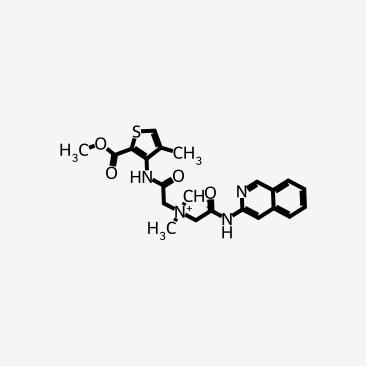 COC(=O)c1scc(C)c1NC(=O)C[N+](C)(C)CC(=O)Nc1cc2ccccc2cn1